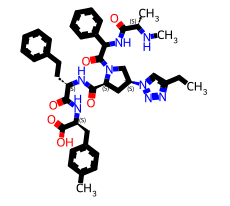 CCc1cn([C@H]2C[C@@H](C(=O)N[C@@H](CCc3ccccc3)C(=O)N[C@@H](Cc3ccc(C)cc3)C(=O)O)N(C(=O)C(NC(=O)[C@H](C)NC)c3ccccc3)C2)nn1